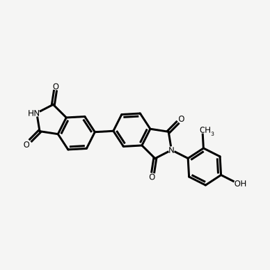 Cc1cc(O)ccc1N1C(=O)c2ccc(-c3ccc4c(c3)C(=O)NC4=O)cc2C1=O